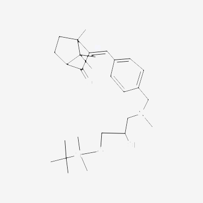 CN(Cc1ccc(/C=C2\C(=O)C3CCC2(C)C3(C)C)cc1)CC(O)CO[Si](C)(C)C(C)(C)C